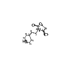 O=C1COC(=O)N1CCC1CCNCC1